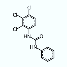 O=C(Nc1ccccc1)Nc1ccc(Cl)c(Cl)c1Cl